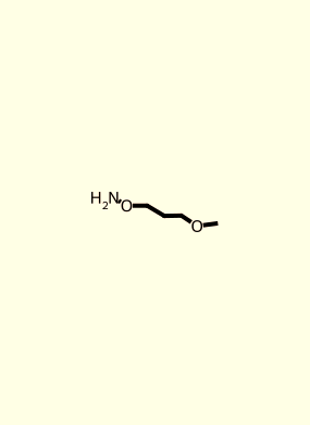 COCCCON